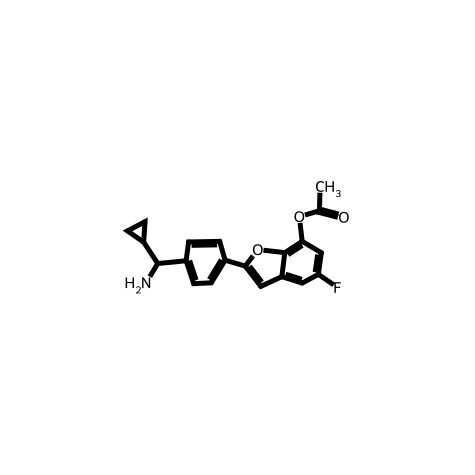 CC(=O)Oc1cc(F)cc2cc(-c3ccc(C(N)C4CC4)cc3)oc12